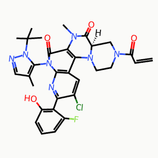 C=CC(=O)N1CCN2c3c(c(=O)n(-c4c(C)cnn4C(C)(C)C)c4nc(-c5c(O)cccc5F)c(Cl)cc34)N(C)C(=O)[C@H]2C1